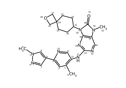 Cc1cc(-c2cnn(C)c2)ncc1Nc1ncc2c(n1)n(C1CCC3(CC1)COC3)c(=O)n2C